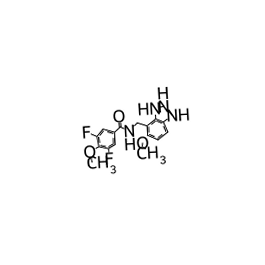 COc1ccc2c(c1CNC(=O)c1cc(F)c(OC)c(F)c1)NNN2